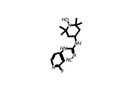 CC1(C)CC(N/C(=N/C#N)Nc2ccnc(F)c2)CC(C)(C)N1O